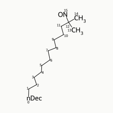 CCCCCCCCCCCCCCCCCCCCCC(C)(C)N=O